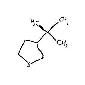 CC(C)(C)C1CCSC1